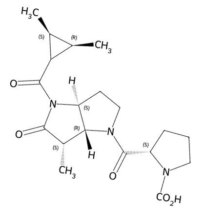 C[C@@H]1C(=O)N(C(=O)C2[C@@H](C)[C@H]2C)[C@H]2CCN(C(=O)[C@@H]3CCCN3C(=O)O)[C@H]12